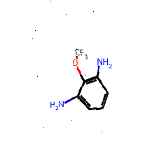 Nc1cccc(N)c1OC(F)(F)F